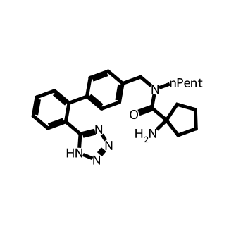 CCCCCN(Cc1ccc(-c2ccccc2-c2nnn[nH]2)cc1)C(=O)C1(N)CCCC1